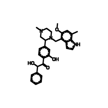 COc1cc(C)c2[nH]ccc2c1CN1CCN(C)CC1c1ccc(C(=O)C(O)c2ccccc2)c(O)c1